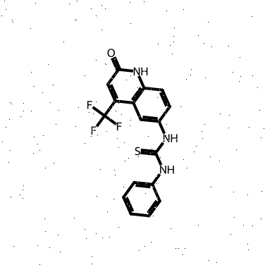 O=c1cc(C(F)(F)F)c2cc(NC(=S)Nc3ccccc3)ccc2[nH]1